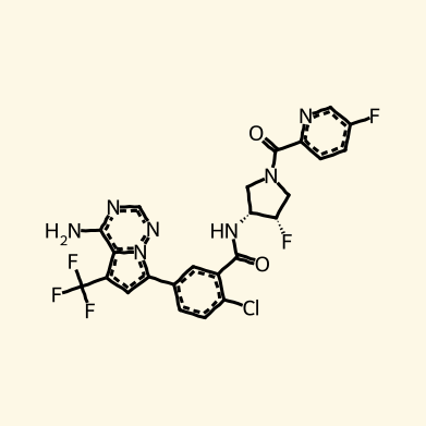 Nc1ncnn2c(-c3ccc(Cl)c(C(=O)N[C@@H]4CN(C(=O)c5ccc(F)cn5)C[C@@H]4F)c3)cc(C(F)(F)F)c12